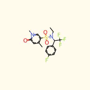 CCN(C(c1ccc(F)cc1)C(F)(F)F)S(=O)(=O)c1cn(C)c(=O)cc1C